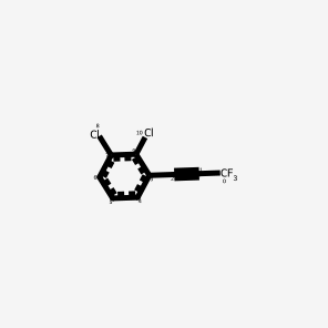 FC(F)(F)C#Cc1cccc(Cl)c1Cl